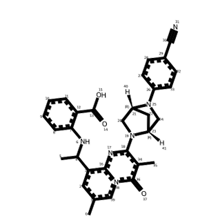 Cc1cc(C(C)Nc2ccccc2C(=O)O)c2nc(N3C[C@H]4C[C@@H]3CN4c3ccc(C#N)cc3)c(C)c(=O)n2c1